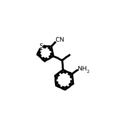 CC(c1ccccc1N)c1ccsc1C#N